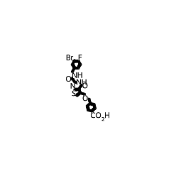 O=C(O)c1ccc(COCc2csc3nc(C(=O)NCc4ccc(F)c(Br)c4)[nH]c(=O)c23)cc1